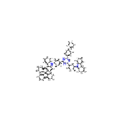 c1ccc(-c2ccc(-c3nc(-c4ccc(-n5c6ccccc6c6c7c(ccc65)C5(c6ccccc6-c6ccccc65)c5ccccc5-7)cc4)nc(-c4cccc(-n5c6ccccc6c6ccccc65)c4)n3)cc2)cc1